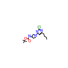 CCCCc1cc(N2CC[C@H](N(C)C(=O)OC(C)(C)C)C2)nc(Cl)n1